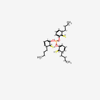 CCCCC1C=CC=C(OP(OC2=CC=CC(CCCC)C2=S)OC2=CC=CC(CCCC)C2=S)C1=S